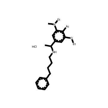 CCOc1cc(C(C)NCCCCc2ccccc2)cc(N(C)CC)c1C(C)=O.Cl